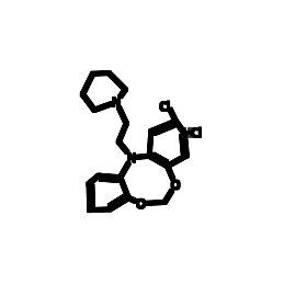 Cl.Clc1ccc2c(c1)N(CCN1CCCCC1)c1ccccc1OCO2